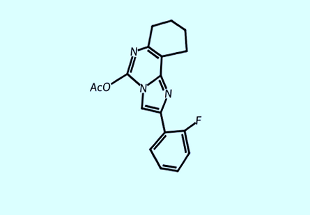 CC(=O)Oc1nc2c(c3nc(-c4ccccc4F)cn13)CCCC2